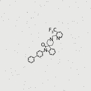 O=C1N(c2ccc(-c3ccccc3)cc2)c2ccccc2C12CCN(Cc1ncccc1C(F)(F)F)CC2